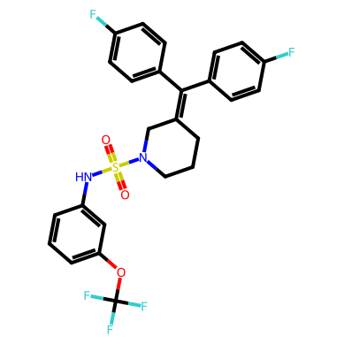 O=S(=O)(Nc1cccc(OC(F)(F)F)c1)N1CCCC(=C(c2ccc(F)cc2)c2ccc(F)cc2)C1